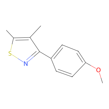 COc1ccc(-c2nsc(C)c2C)cc1